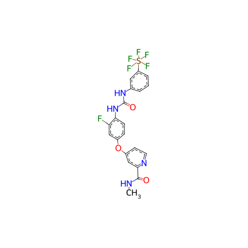 CNC(=O)c1cc(Oc2ccc(NC(=O)Nc3cccc(S(F)(F)(F)(F)F)c3)c(F)c2)ccn1